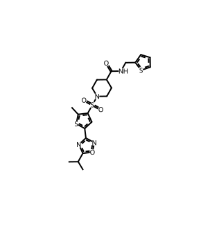 Cc1sc(-c2noc(C(C)C)n2)cc1S(=O)(=O)N1CCC(C(=O)NCc2cccs2)CC1